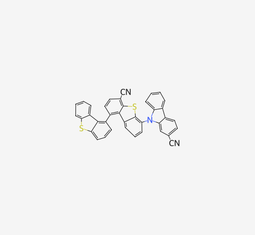 N#Cc1ccc2c3ccccc3n(-c3cccc4c3sc3c(C#N)ccc(-c5cccc6sc7ccccc7c56)c34)c2c1